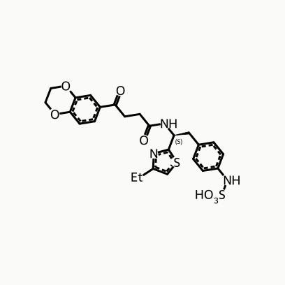 CCc1csc([C@H](Cc2ccc(NS(=O)(=O)O)cc2)NC(=O)CCC(=O)c2ccc3c(c2)OCCO3)n1